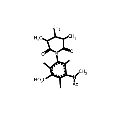 CC(=O)N(C)c1c(I)c(C(=O)O)c(I)c(N2C(=O)C(C)C(C)C(C)C2=O)c1I